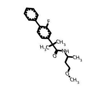 COCCC(C)NC(=O)C(C)(C)c1ccc(-c2ccccc2)c(F)c1